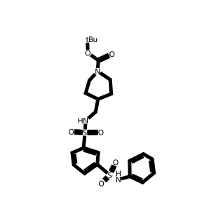 CC(C)(C)OC(=O)N1CCC(CNS(=O)(=O)c2cccc(S(=O)(=O)Nc3ccccc3)c2)CC1